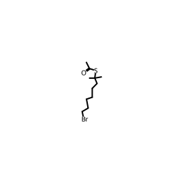 CC(=O)SC(C)(C)CCCCCCBr